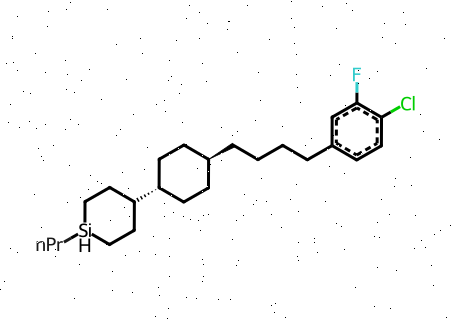 CCC[SiH]1CCC([C@H]2CC[C@H](CCCCc3ccc(Cl)c(F)c3)CC2)CC1